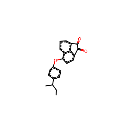 CCC(C)c1ccc(Oc2ccc3c4c(cccc24)C(=O)C3=O)cc1